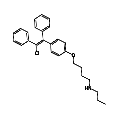 CCCNCCCCOc1ccc(C(=C(Cl)c2ccccc2)c2ccccc2)cc1